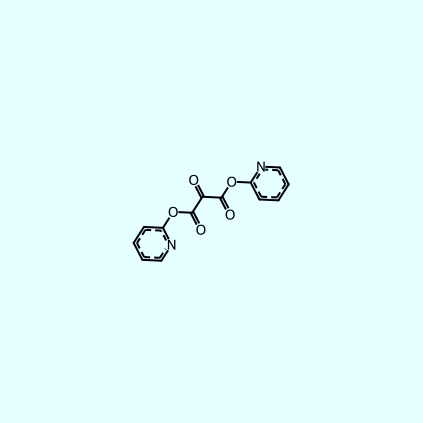 O=C(Oc1ccccn1)C(=O)C(=O)Oc1ccccn1